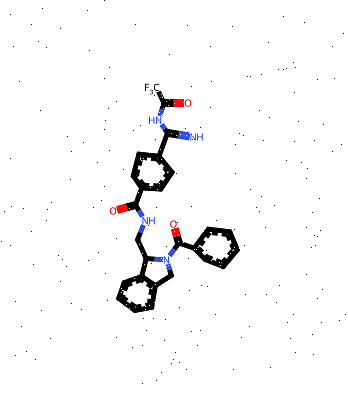 N=C(NC(=O)C(F)(F)F)c1ccc(C(=O)NCC2c3ccccc3CN2C(=O)c2ccccc2)cc1